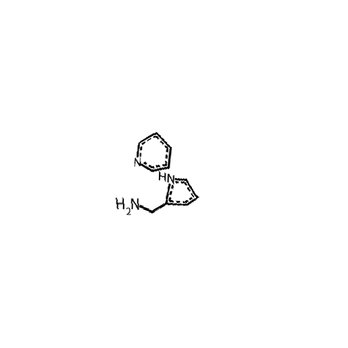 NCc1ccc[nH]1.c1ccncc1